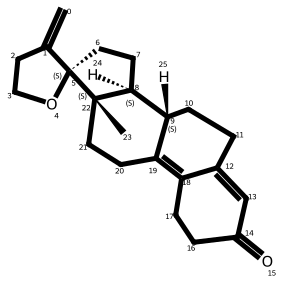 C=C1CCO[C@@]12CC[C@H]1[C@@H]3CCC4=CC(=O)CCC4=C3CC[C@@]12C